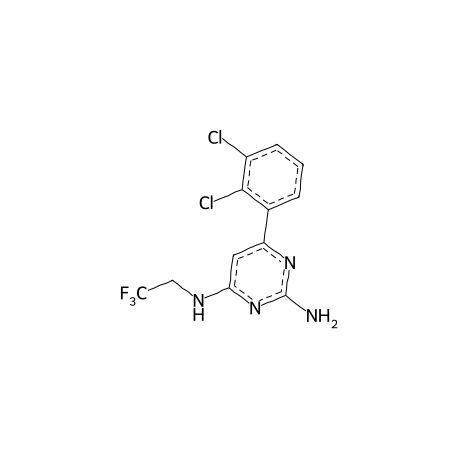 Nc1nc(NCC(F)(F)F)cc(-c2cccc(Cl)c2Cl)n1